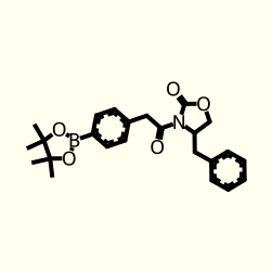 CC1(C)OB(c2ccc(CC(=O)N3C(=O)OCC3Cc3ccccc3)cc2)OC1(C)C